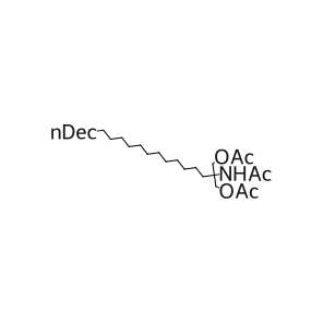 CCCCCCCCCCCCCCCCCCCCCCC(COC(C)=O)(COC(C)=O)NC(C)=O